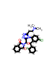 CN(C)CCc1nnc(CN2C(=O)c3ccccc3C2=O)n1-c1ccc(Cl)cc1C(=O)c1ccccc1F